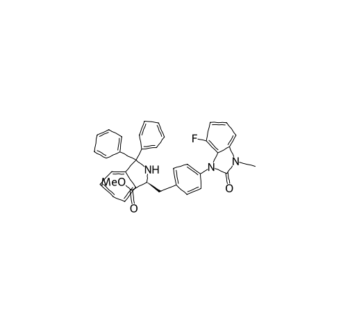 COC(=O)[C@H](Cc1ccc(-n2c(=O)n(C)c3cccc(F)c32)cc1)NC(c1ccccc1)(c1ccccc1)c1ccccc1